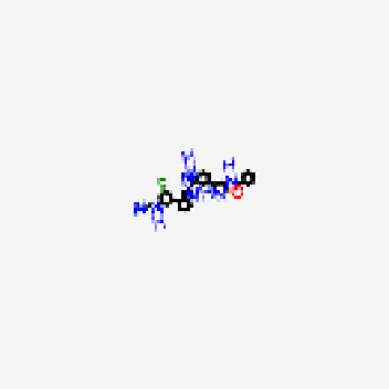 CN(C)CCNc1cc(F)cc(-c2cccc3[nH]c(-c4n[nH]c5ccc(-c6cncc(NC(=O)c7ccccc7)c6)cc45)cc23)c1